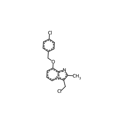 Cc1nc2c(OCc3ccc(Cl)cc3)cccn2c1CCl